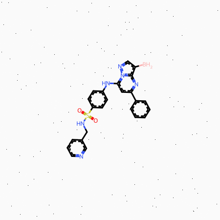 Bc1cnn2c(Nc3ccc(S(=O)(=O)NCc4cccnc4)cc3)cc(-c3ccccc3)nc12